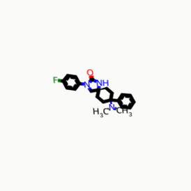 CN(C)[C@]1(c2ccccc2)CC[C@@]2(CC1)CN(c1ccc(F)cc1)C(=O)N2